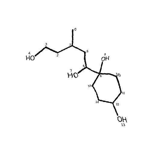 CC(CCO)CC(O)C1(O)CCC(O)CC1